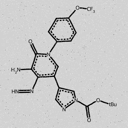 CC(C)(C)OC(=O)n1cc(-c2cn(-c3ccc(OC(F)(F)F)cc3)c(=O)c(N)c2N=N)cn1